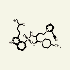 CC1CCN(C(=O)C(CCn2cccc2C#N)NS(=O)(=O)c2cccc3[nH]cc(CCC(=O)O)c23)CC1